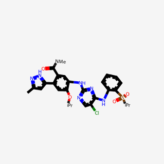 CNC(=O)c1cc(Nc2ncc(Cl)c(Nc3ccccc3S(=O)(=O)C(C)C)n2)c(OC(C)C)cc1-c1cc(C)n[nH]1